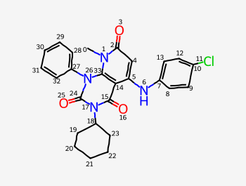 Cn1c(=O)cc(Nc2ccc(Cl)cc2)c2c(=O)n(C3CCCCC3)c(=O)n(-c3ccccc3)c21